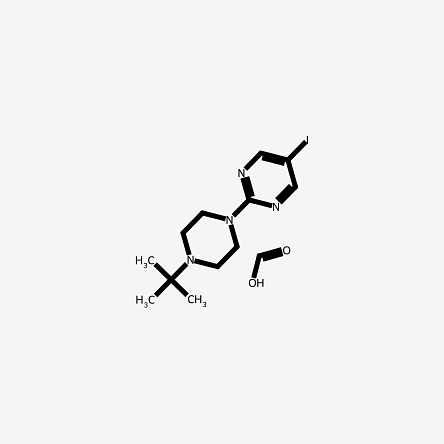 CC(C)(C)N1CCN(c2ncc(I)cn2)CC1.O=CO